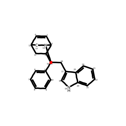 C1=CC2C(Cc3ccccc3)CC1CN2CCc1c[nH]c2ccccc12